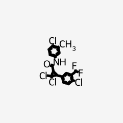 Cc1cc(NC(=O)C2C(c3ccc(Cl)c(C(F)F)c3)C2(Cl)Cl)ccc1Cl